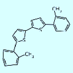 Cc1ccccc1-c1ccc(-c2ccc(-c3ccccc3C)s2)s1